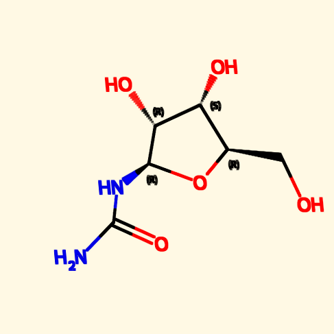 NC(=O)N[C@@H]1O[C@H](CO)[C@@H](O)[C@H]1O